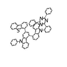 c1ccc(-c2nc(-c3ccccc3)nc(-c3ccccc3-n3c4ccccc4c4c(-c5cc(-c6cccc7c6sc6ccccc67)cc6c5c5ccccc5n6-c5ccccc5)cccc43)n2)cc1